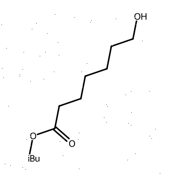 CCC(C)OC(=O)CCCCCCO